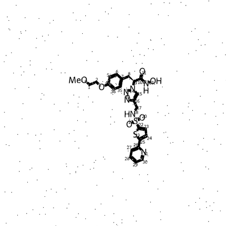 COCCOc1ccc(C[C@@H](C(=O)NO)n2cc(CNS(=O)(=O)c3ccc(-c4ccccn4)s3)nn2)cc1